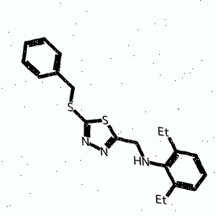 CCc1cccc(CC)c1NCc1nnc(SCc2ccccc2)s1